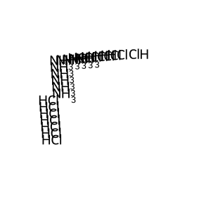 Cl.Cl.Cl.Cl.Cl.Cl.Cl.Cl.Cl.Cl.Cl.Cl.Cl.Cl.Cl.N.N.N.N.N.N.N.N.N.N